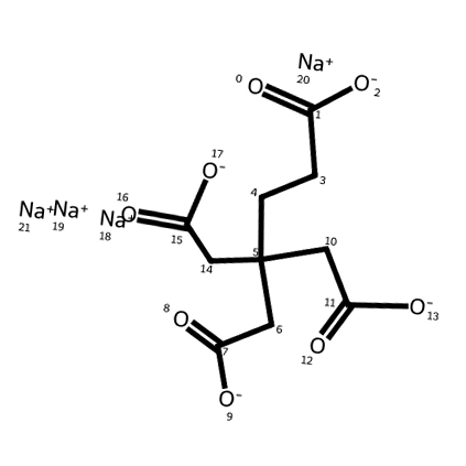 O=C([O-])CCC(CC(=O)[O-])(CC(=O)[O-])CC(=O)[O-].[Na+].[Na+].[Na+].[Na+]